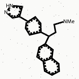 CNCCC(c1ccc(-c2cn[nH]c2)cc1)c1ccc2ccccc2c1